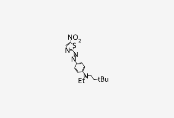 CCN(CCC(C)(C)C)c1ccc(/N=N/c2ncc([N+](=O)[O-])s2)cc1